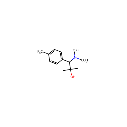 CC(C)(O)C(c1ccc(C(F)(F)F)cc1)N(C(=O)O)C(C)(C)C